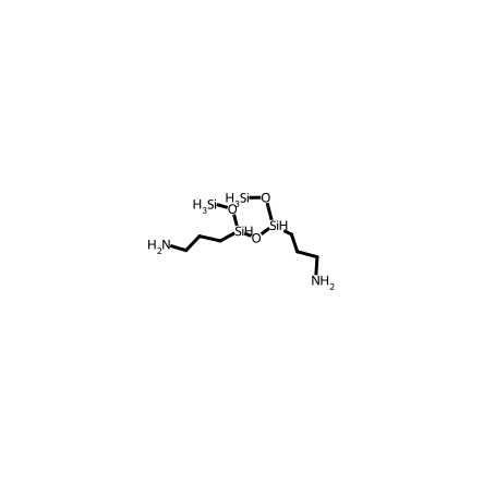 NCCC[SiH](O[SiH3])O[SiH](CCCN)O[SiH3]